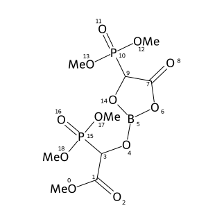 COC(=O)C(OB1OC(=O)C(P(=O)(OC)OC)O1)P(=O)(OC)OC